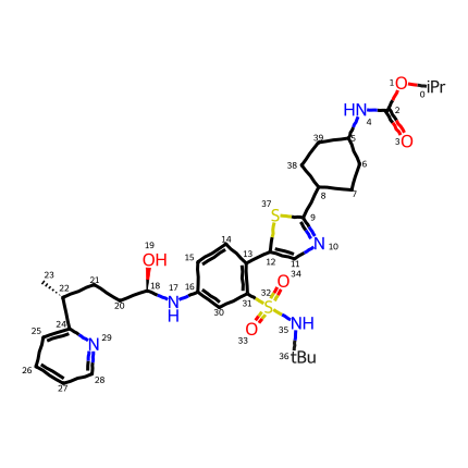 CC(C)OC(=O)NC1CCC(c2ncc(-c3ccc(N[C@H](O)CC[C@@H](C)c4ccccn4)cc3S(=O)(=O)NC(C)(C)C)s2)CC1